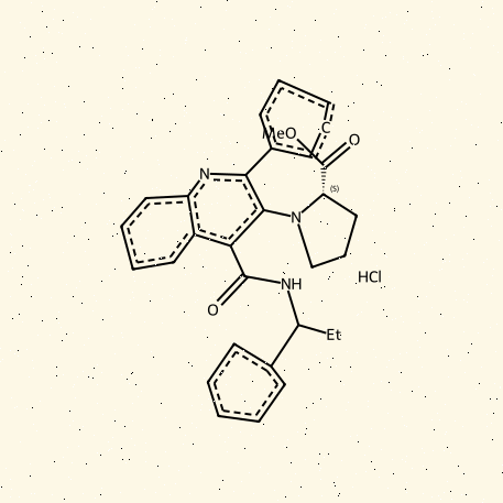 CCC(NC(=O)c1c(N2CCC[C@H]2C(=O)OC)c(-c2ccccc2)nc2ccccc12)c1ccccc1.Cl